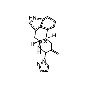 C=C1C[C@@H]2c3cccc4[nH]cc(c34)C[C@H]2NC1n1cccn1